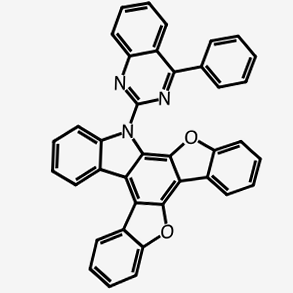 c1ccc(-c2nc(-n3c4ccccc4c4c5c6ccccc6oc5c5c6ccccc6oc5c43)nc3ccccc23)cc1